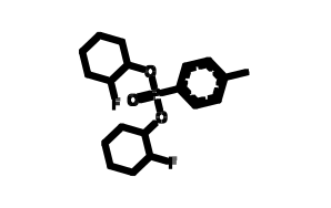 Cc1ccc(P(=O)(OC2CCCCC2F)OC2CCCCC2F)cc1